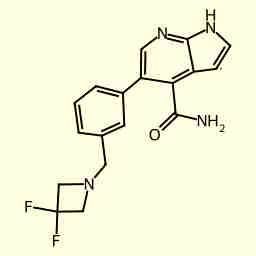 NC(=O)c1c(-c2cccc(CN3CC(F)(F)C3)c2)cnc2[nH]c[c]c12